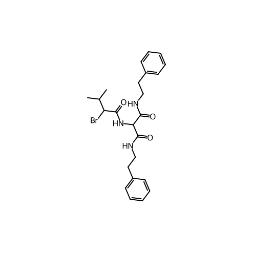 CC(C)C(Br)C(=O)NC(C(=O)NCCc1ccccc1)C(=O)NCCc1ccccc1